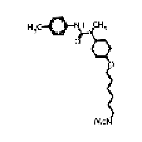 CNCCCCCCOC1CCC(N(C)C(=O)Nc2ccc(C)cc2)CC1